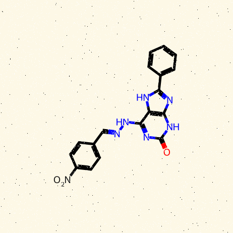 O=c1nc(NN=Cc2ccc([N+](=O)[O-])cc2)c2[nH]c(-c3ccccc3)nc2[nH]1